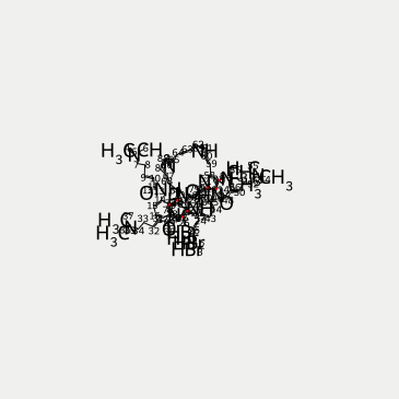 Br.Br.Br.Br.CN(C)CCC=CC(=O)Nc1ccccc1-c1c(-c2ccccc2NC(=O)C=CCCN(C)C)c2c(-c3ccccc3NC(=O)C=CCCN(C)C)c3nc(cc4ccc(cc5nc(cc1n2-c1ccccc1NC(=O)C=CCCN(C)C)C=C5)[nH]4)C=C3